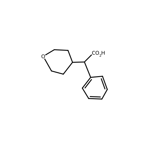 O=C(O)C(c1ccccc1)C1CCOCC1